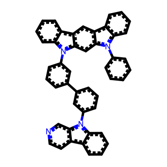 c1ccc(-n2c3ccccc3c3cc4c5ccccc5n(-c5cccc(-c6cccc(-n7c8ccccc8c8ccncc87)c6)c5)c4cc32)cc1